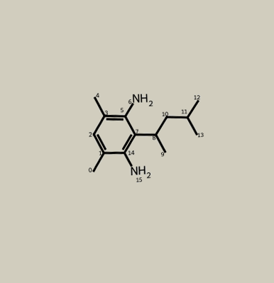 Cc1cc(C)c(N)c(C(C)CC(C)C)c1N